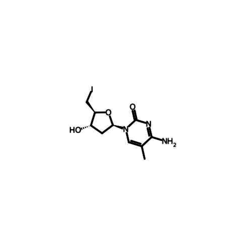 Cc1cn([C@H]2C[C@H](O)[C@@H](CI)O2)c(=O)nc1N